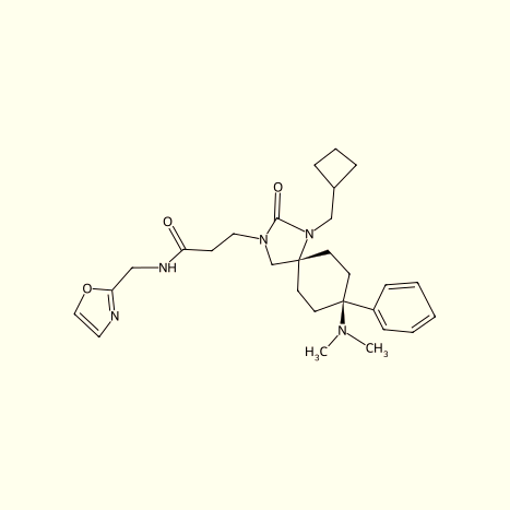 CN(C)[C@]1(c2ccccc2)CC[C@@]2(CC1)CN(CCC(=O)NCc1ncco1)C(=O)N2CC1CCC1